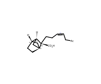 CC(=O)C/C=C\CC[C@@]1(C(=O)O)[C@H]2C[C@@]13CC[C@H]2C3